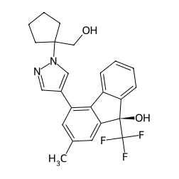 Cc1cc(-c2cnn(C3(CO)CCCC3)c2)c2c(c1)[C@@](O)(C(F)(F)F)c1ccccc1-2